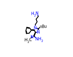 C=N/C(N)=c1/nc(CCCC)n(CCCCN)/c1=C1\C=CC=CC1